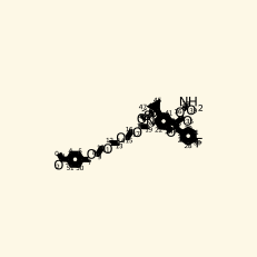 CC(=O)c1ccc(COCCOCCOCCOCCN(c2cc3oc(-c4ccc(F)cc4)c(C(=O)OC(N)=O)c3cc2C2CC2)S(C)(=O)=O)cc1